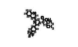 CC(C)CC(C(=O)O)c1cc(-c2ccc(C(F)(F)F)cc2)nc(-c2cnc3ccccc3c2)c1